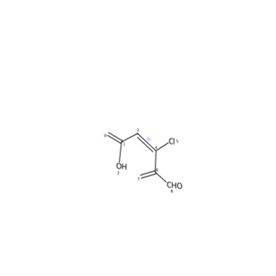 C=C(O)/C=C(/Cl)C(=C)C=O